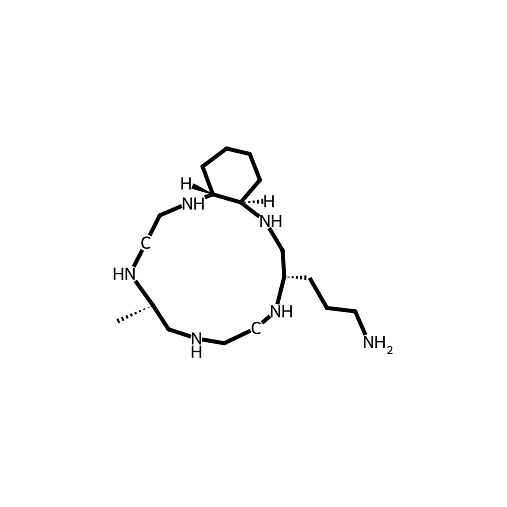 C[C@H]1CNCCN[C@@H](CCCN)CN[C@@H]2CCCC[C@H]2NCCN1